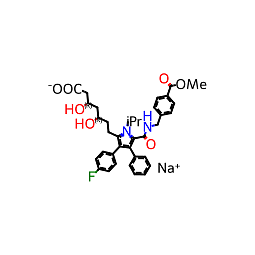 COC(=O)c1ccc(CNC(=O)c2c(-c3ccccc3)c(-c3ccc(F)cc3)c(CC[C@@H](O)C[C@@H](O)CC(=O)[O-])n2C(C)C)cc1.[Na+]